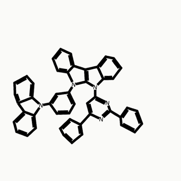 c1ccc(-c2cc(-n3c4ccccc4c4c5ccccc5n(-c5cccc(-n6c7ccccc7c7ccccc76)c5)c43)nc(-c3ccccc3)n2)cc1